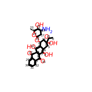 CC(=O)[C@]1(O)Cc2c(O)c3c(c(O)c2[C@@H](OC2C[C@H](N)[C@H](O)[C@H](C)O2)C1)C(=O)c1ccccc1C3=O